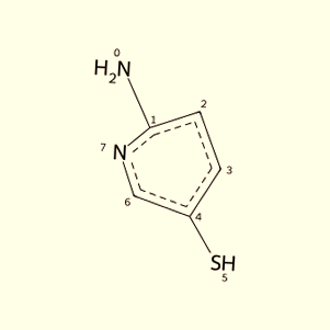 Nc1ccc(S)cn1